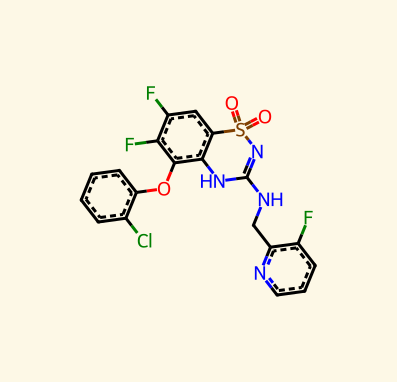 O=S1(=O)N=C(NCc2ncccc2F)Nc2c1cc(F)c(F)c2Oc1ccccc1Cl